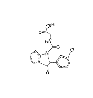 O=C(O)CNC(=O)N1c2ccccc2C(=O)C1c1cccc(Cl)c1